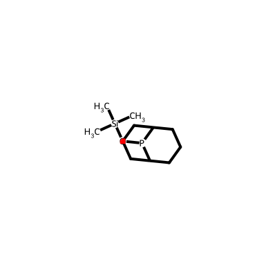 C[Si](C)(C)OP1C2CCCC1CCC2